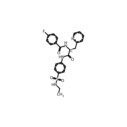 CCNS(=O)(=O)c1ccc(NC(=O)[C@H](Cc2ccccn2)NC(=O)c2ccc(F)cc2)cc1